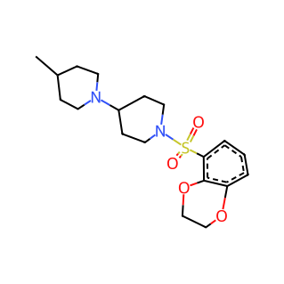 CC1CCN(C2CCN(S(=O)(=O)c3cccc4c3OCCO4)CC2)CC1